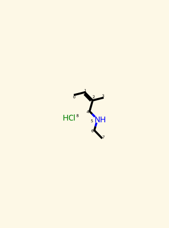 CC=C(C)CNCC.Cl